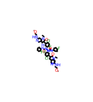 CCn1c(=O)c(-c2cc(N(C(=O)Nc3ccc(F)cc3)N(C(=O)Nc3ccccc3F)c3cc(-c4cc5cnc(NCCOC)cc5n(CC)c4=O)c(Cl)cc3F)c(F)cc2Cl)cc2cnc(NCCOC)cc21